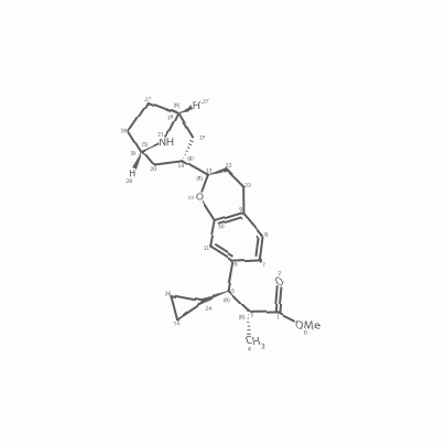 COC(=O)[C@H](C)[C@H](c1ccc2c(c1)O[C@@H]([C@H]1C[C@H]3CC[C@@H](C1)N3)CC2)C1CC1